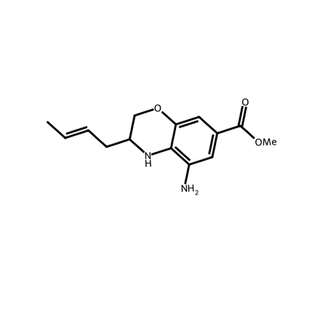 C/C=C/CC1COc2cc(C(=O)OC)cc(N)c2N1